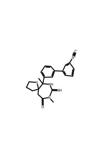 [C-]#[N+]c1cccc(-c2cccc(C3(C)NC(=N)N(C)C(=O)CC34CCCS4)c2)c1